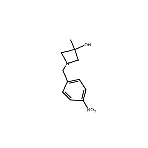 CC1(O)CN(Cc2ccc([N+](=O)[O-])cc2)C1